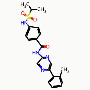 Cc1ccccc1-c1cnc(NC(=O)c2ccc(NS(=O)(=O)C(C)C)cc2)cn1